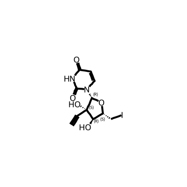 C#C[C@]1(O)[C@H](O)[C@@H](CI)O[C@H]1n1ccc(=O)[nH]c1=O